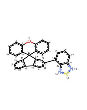 c1ccc2c(c1)Oc1ccccc1C21c2ccccc2-c2ccc(-c3cccc4nsnc34)cc21